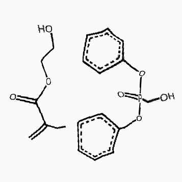 C=C(C)C(=O)OCCO.O=P(O)(Oc1ccccc1)Oc1ccccc1